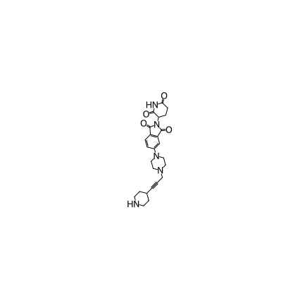 O=C1CCC(N2C(=O)c3ccc(N4CCN(CC#CC5CCNCC5)CC4)cc3C2=O)C(=O)N1